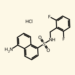 Cl.Nc1cccc2c(S(=O)(=O)NCc3c(F)cccc3F)cccc12